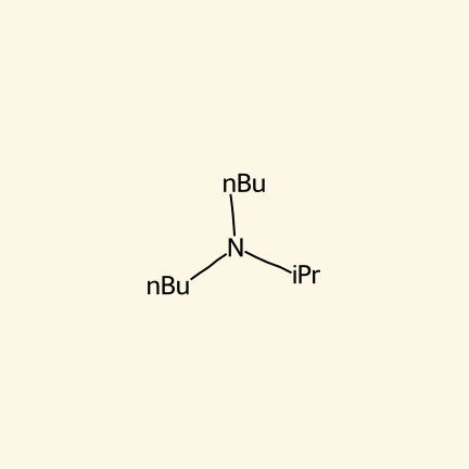 CCCCN(CCCC)C(C)C